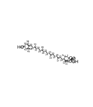 CC1=C[C@H](OP(=O)(O)O)CC(C)(C)[C@H]1/C=C/C(C)=C/C=C/C(C)=C/C=C/C=C(C)/C=C/C=C(C)/C=C/C1=C(C)C[C@@H](O)CC1(C)C